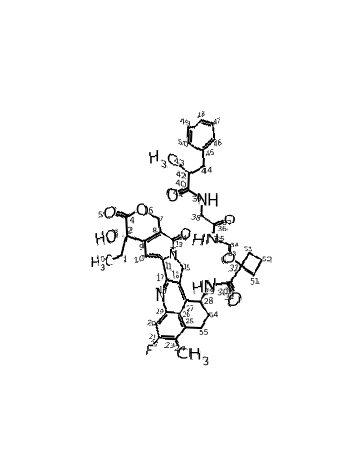 CC[C@@]1(O)C(=O)OCc2c1cc1n(c2=O)Cc2c-1nc1cc(F)c(C)c3c1c2[C@@H](NC(=O)C1(OCNC(=O)CNC(=O)[C@@H](C)Cc2ccccc2)CCC1)CC3